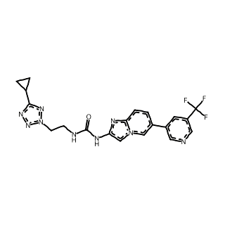 O=C(NCCn1nnc(C2CC2)n1)Nc1cn2cc(-c3cncc(C(F)(F)F)c3)ccc2n1